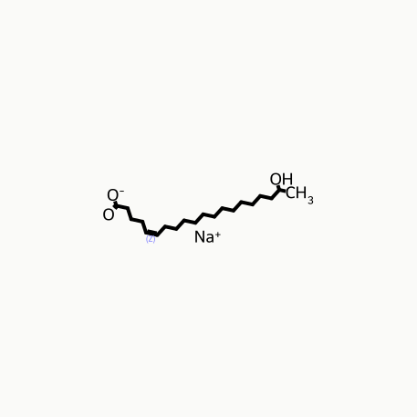 CC(O)CCCCCCCCCCCC/C=C\CCCC(=O)[O-].[Na+]